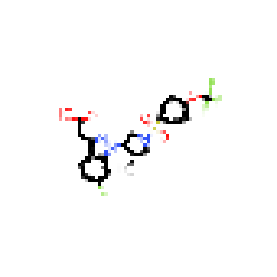 C[C@@H]1CN(S(=O)(=O)c2ccc(OC(F)(F)F)cc2)C[C@@H]1n1nc(CC(=O)O)c2ccc(F)cc21